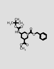 COC(=O)C1CC(NC(=O)OC(C)(C)C)CN(C(=O)OCc2ccccc2)C1